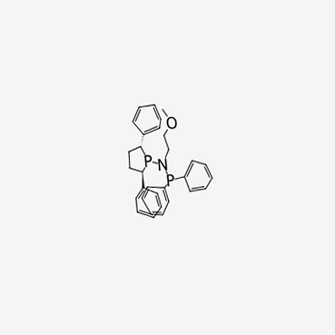 COCCN(P(c1ccccc1)c1ccccc1)P1[C@@H](c2ccccc2)CC[C@@H]1c1ccccc1